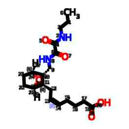 CCCNC(=O)C(=O)NC[C@@H]1[C@@H](C/C=C\CCCC(=O)O)[C@H]2CC[C@@H]1O2